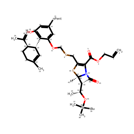 C=CCOC(=O)C1=C(CSCOc2cc(CCCCC)cc(O)c2[C@@H]2C=C(C)CC[C@H]2C(=C)C)S[C@@H]2[C@@H]([C@@H](C)O[Si](C)(C)C(C)(C)C)C(=O)N12